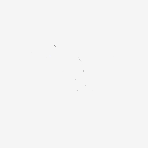 CC(C)C[C@@H](C(=O)N[C@@H](CCCN/C(N)=N/[N+](=O)[O-])C(=O)Nc1nccs1)[C@H](C(C)C)N(O)C=O